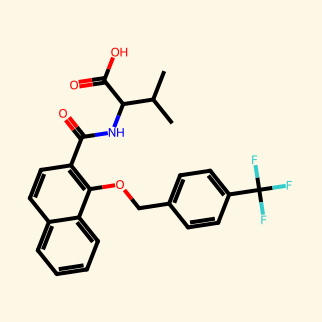 CC(C)C(NC(=O)c1ccc2ccccc2c1OCc1ccc(C(F)(F)F)cc1)C(=O)O